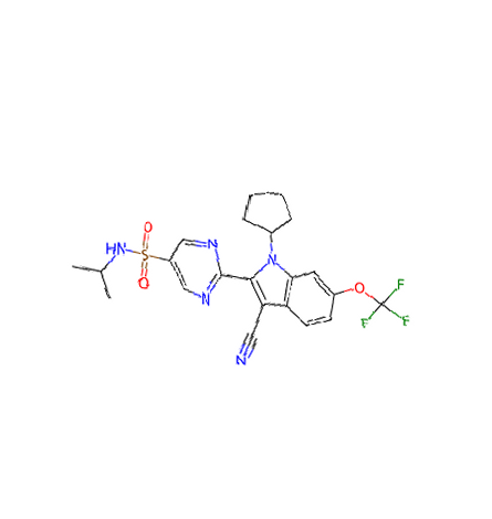 CC(C)NS(=O)(=O)c1cnc(-c2c(C#N)c3ccc(OC(F)(F)F)cc3n2C2CCCC2)nc1